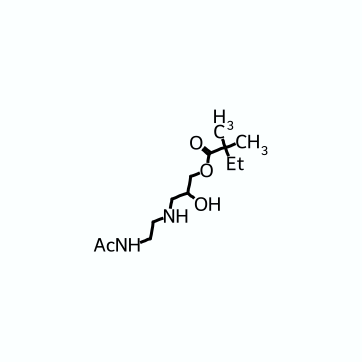 CCC(C)(C)C(=O)OCC(O)CNCCNC(C)=O